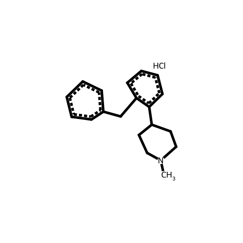 CN1CCC(c2ccccc2Cc2ccccc2)CC1.Cl